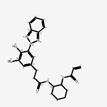 C=CC(=O)OC1CCCCC1OC(=O)CCc1cc(-n2nc3ccccc3n2)c(O)c(C(C)(C)C)c1